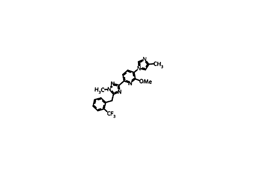 COc1nc(-c2nc(Cc3ccccc3C(F)(F)F)n(C)n2)ccc1-n1cnc(C)c1